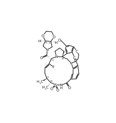 C[C@@H]1[C@@H](C)C/C=C(\F)[C@H](C(=O)N2C[C@@H]3OCCO[C@@H]3C2)N2CCC[C@@]23CN2CCCCc4cc(Cl)cc3c4COc3ccc(cc32)C(=O)NS1(=O)=O